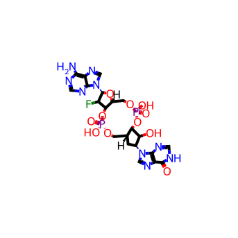 Nc1ncnc2c1ncn2[C@@H]1O[C@@H]2COP(=O)(O)OC3C(O)[C@H](n4cnc5c(=O)[nH]cnc54)C[C@@H]3COP(=O)(O)OC2C1F